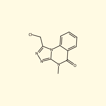 Cn1c(=O)c2ccccc2n2c(CCl)nnc12